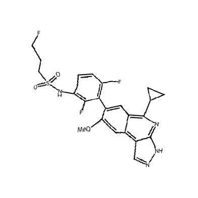 COc1cc2c(cc1-c1c(F)ccc(NS(=O)(=O)CCCF)c1F)c(C1CC1)nc1[nH]ncc12